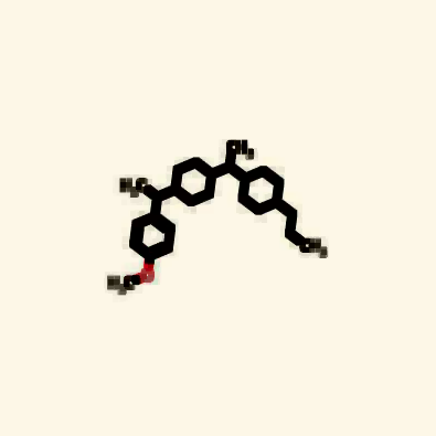 CCCC1CCC(C(C)C2CCC(C(C)c3ccc(OC)cc3)CC2)CC1